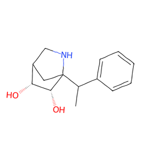 CC(c1ccccc1)C12CC(CN1)[C@@H](O)[C@H]2O